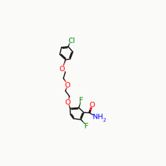 NC(=O)c1c(F)ccc(OCCOCCOc2ccc(Cl)cc2)c1F